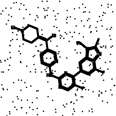 CCC(=C1CCN(CC)CC1)c1ccc(Nc2ncc(F)c(-c3cc(F)c4nc(C)n(C(C)C)c4c3)n2)nc1